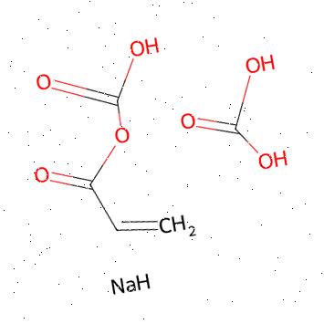 C=CC(=O)OC(=O)O.O=C(O)O.[NaH]